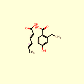 C/C=C/C=C/C(=O)O.CCc1cc(O)ccc1C(=O)O